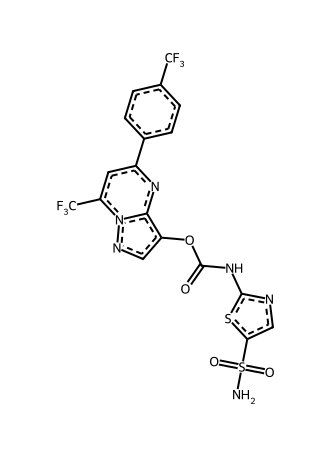 NS(=O)(=O)c1cnc(NC(=O)Oc2cnn3c(C(F)(F)F)cc(-c4ccc(C(F)(F)F)cc4)nc23)s1